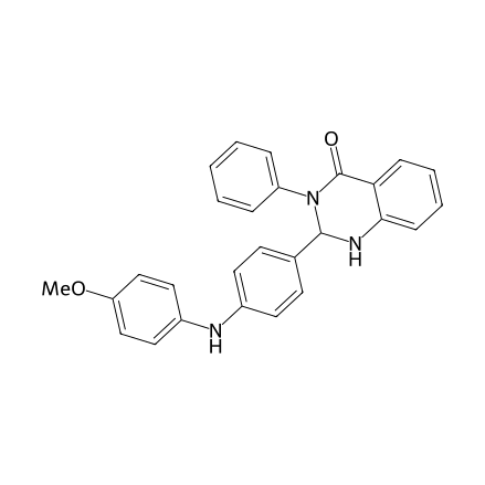 COc1ccc(Nc2ccc(C3Nc4ccccc4C(=O)N3c3ccccc3)cc2)cc1